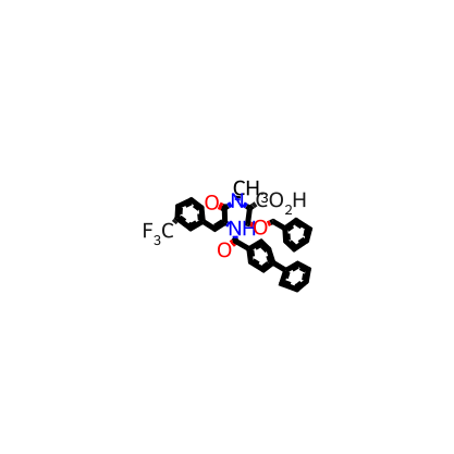 CN(C(=O)/C(=C\c1cccc(C(F)(F)F)c1)NC(=O)c1ccc(-c2ccccc2)cc1)C(COCc1ccccc1)C(=O)O